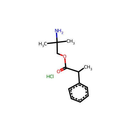 CC(C(=O)OCC(C)(C)N)c1ccccc1.Cl